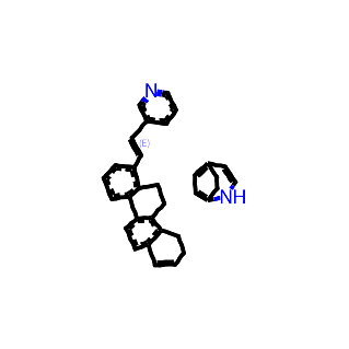 C1=CC2=CC=C(CC2)N1.C1=Cc2ccc3c(c2CC1)CCc1c(/C=C/c2cccnc2)cccc1-3